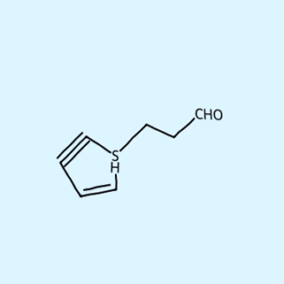 O=CCC[SH]1C#CC=C1